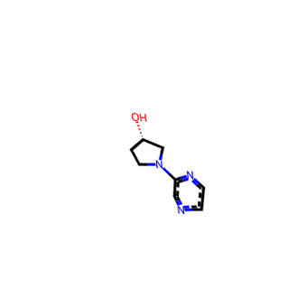 O[C@H]1CCN(c2cnccn2)C1